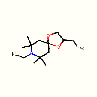 CC(=O)OCC1COC2(CC(C)(C)N(CC#N)C(C)(C)C2)O1